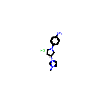 C[n+]1ccn([C@H]2CCN(c3ccc(N)cc3)C2)c1.Cl